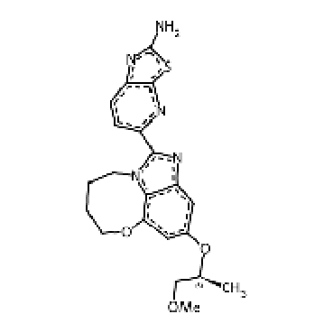 COC[C@H](C)Oc1cc2c3c(c1)nc(-c1ccc4nc(N)sc4n1)n3CCCCO2